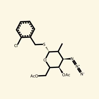 CC(=O)OCC1O[C@H](SCc2ccccc2Cl)C(C)[C@@H](N=[N+]=[N-])[C@H]1OC(C)=O